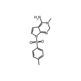 Cc1ccc(S(=O)(=O)n2ccc3c2=NCN(C)C=3N)cc1